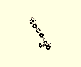 CCC(C)n1ncn(-c2ccc(N3CCN(c4ccc(OC[C@@H]5CO[C@@](Cn6cccn6)(c6ccccc6C(F)(F)F)O5)cc4)CC3)cc2)c1=O